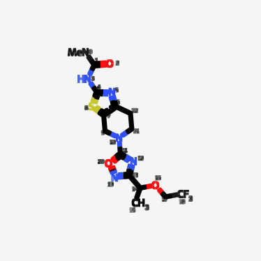 CNC(=O)Nc1nc2c(s1)CN(c1nc(C(C)OCC(F)(F)F)no1)CC2